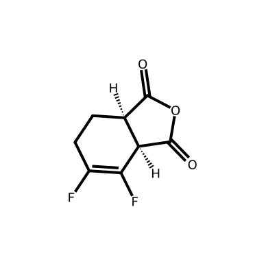 O=C1OC(=O)[C@@H]2CCC(F)=C(F)[C@H]12